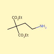 CCOC(=O)C(C)(CCN)C(=O)OCC